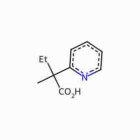 CCC(C)(C(=O)O)c1ccccn1